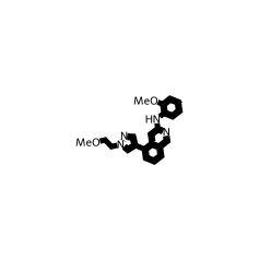 COCCn1cc(-c2cccc3cnc(Nc4cc[c]cc4OC)cc23)cn1